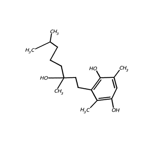 Cc1cc(O)c(C)c(CCC(C)(O)CCCC(C)C)c1O